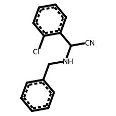 N#CC(NCc1ccccc1)c1ccccc1Cl